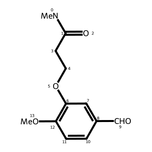 CNC(=O)CCOc1cc(C=O)ccc1OC